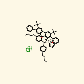 CCCCc1ccc([C](c2ccc(CCCC)cc2)=[Zr+2]([C]2=CC=CC2)[c]2c3c(cc(C(C)(C)C)c2-c2ccccc2)-c2cc(C(C)(C)C)c(-c4ccccc4)cc2C3)cc1.[Cl-].[Cl-]